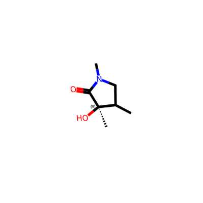 CC1CN(C)C(=O)[C@]1(C)O